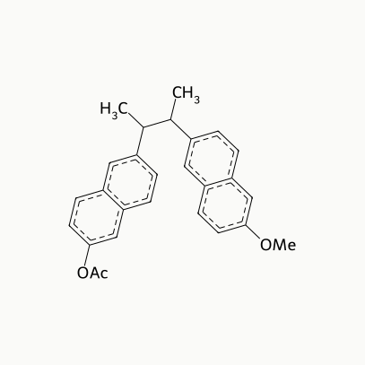 COc1ccc2cc(C(C)C(C)c3ccc4cc(OC(C)=O)ccc4c3)ccc2c1